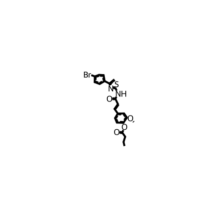 CCCC(=O)Oc1ccc(/C=C/C(=O)Nc2nc(-c3ccc(Br)cc3)cs2)cc1OC